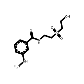 NNc1cccc(C(=O)NCCS(=O)(=O)CCO)c1